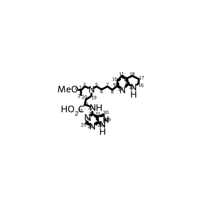 COC(C)CN(CCCCc1ccc2c(n1)NCCC2)CCC(Nc1ncnc2[nH]ncc12)C(=O)O